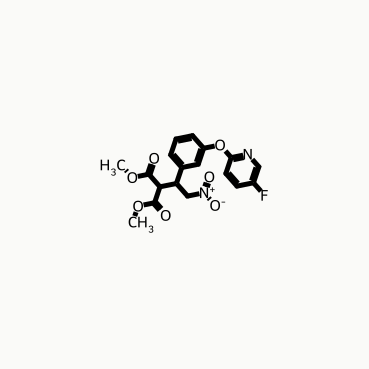 COC(=O)C(C(=O)OC)C(C[N+](=O)[O-])c1cccc(Oc2ccc(F)cn2)c1